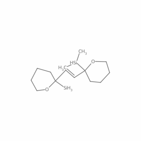 C[SiH](C)C1(C=CC2([SiH3])CCCCO2)CCCCO1